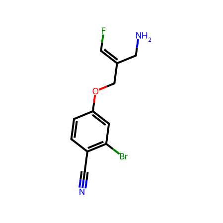 N#Cc1ccc(OCC(=CF)CN)cc1Br